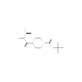 CC(=O)C(C)C(=O)C1CCN(C(=O)OC(C)(C)C)CC1